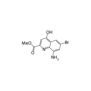 COC(=O)c1cc(O)c2cc(Br)cc(N)c2n1